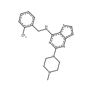 CN1CCN(c2nc(NCc3ccccc3C(F)(F)F)c3sccc3n2)CC1